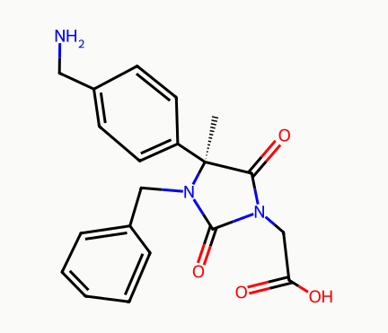 C[C@]1(c2ccc(CN)cc2)C(=O)N(CC(=O)O)C(=O)N1Cc1ccccc1